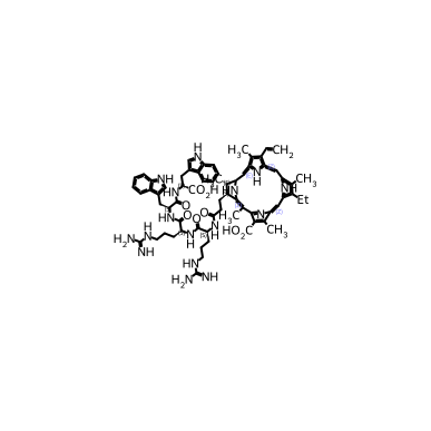 C=Cc1c(C)/c2[nH]/c1=C\c1[nH]c(c(CC)c1C)/C=C1N=C(C(C(=O)O)=C\1C)/C(C)=C1\NC(/C=2)[C@@H](C)[C@@H]1CCC(=O)N[C@@H](CCCNC(=N)N)C(=O)N[C@@H](CCCNC(=N)N)C(=O)N[C@@H](Cc1c[nH]c2ccccc12)C(=O)N[C@@H](Cc1c[nH]c2ccccc12)C(=O)O